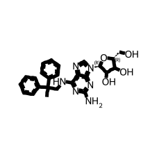 CC(CNc1nc(N)nc2c1ncn2[C@@H]1O[C@H](CO)C(O)C1O)(c1ccccc1)c1ccccc1